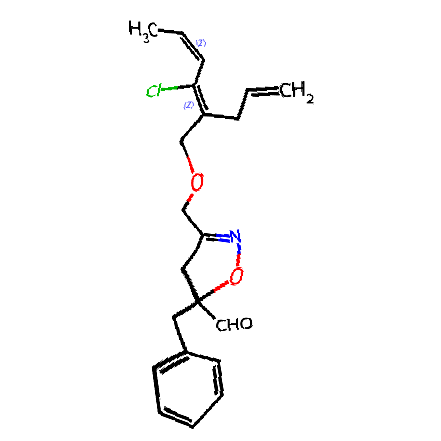 C=CC/C(COCC1=NOC(C=O)(Cc2ccccc2)C1)=C(Cl)\C=C/C